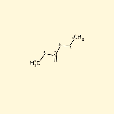 CC[CH]NCC